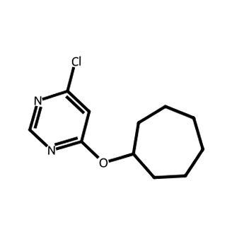 Clc1cc(OC2CCCCCC2)ncn1